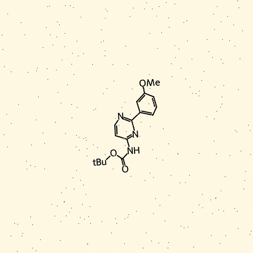 COc1cccc(-c2nccc(NC(=O)OC(C)(C)C)n2)c1